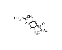 CC(=O)C(C)[S+]([O-])c1ccc(CC(C)C(=O)O)cc1